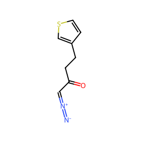 [N-]=[N+]=CC(=O)CCc1ccsc1